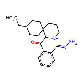 NN=Cc1ccccc1C(=O)C1NCCCC12CCC(CC(=O)O)CC2